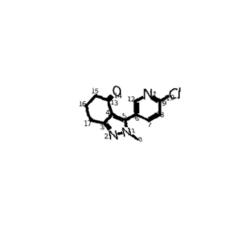 Cn1nc2c(c1-c1ccc(Cl)nc1)C(=O)CCC2